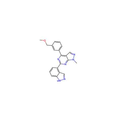 COCc1cccc(-c2nc(-c3cccc4[nH]ncc34)nc3c2cnn3C)c1